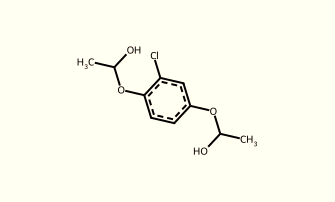 CC(O)Oc1ccc(OC(C)O)c(Cl)c1